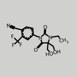 CCN1C(=O)N(c2ccc(C#N)c(C(F)(F)F)c2)C(=O)C1(CO)CO